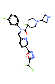 O=C(N(Cc1ccc(-c2nnc(C(F)F)o2)cn1)c1cccc(F)c1)C1(F)CCN(C2CNC2)CC1